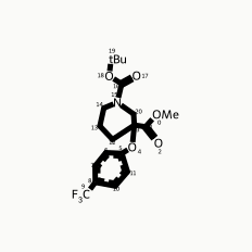 COC(=O)C1(Oc2ccc(C(F)(F)F)cc2)CCCN(C(=O)OC(C)(C)C)C1